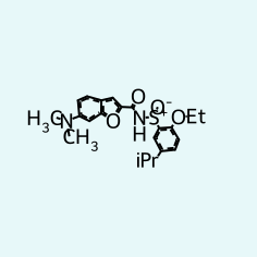 CCOc1ccc(C(C)C)cc1[S+]([O-])NC(=O)c1cc2ccc(N(C)C)cc2o1